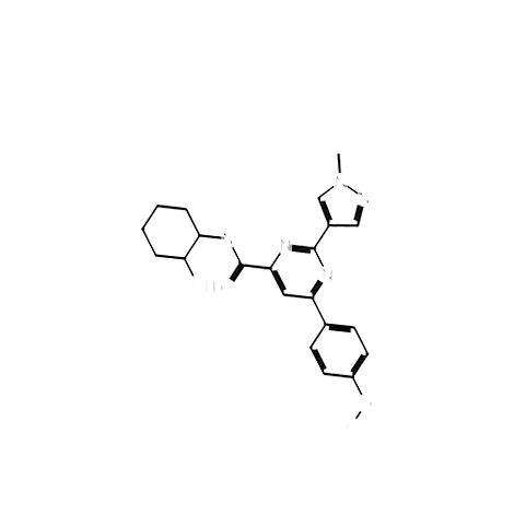 Cn1cc(-c2nc(C(=O)NC3CCCCC3O)cc(-c3ccc(OC(F)(F)F)cc3)n2)cn1